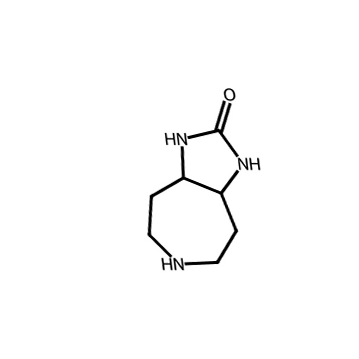 O=C1NC2CCNCCC2N1